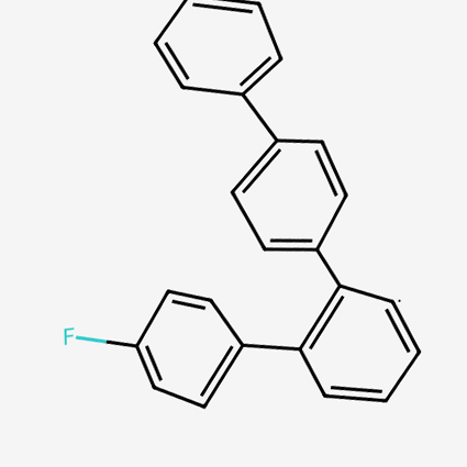 Fc1ccc(-c2ccc[c]c2-c2ccc(-c3ccccc3)cc2)cc1